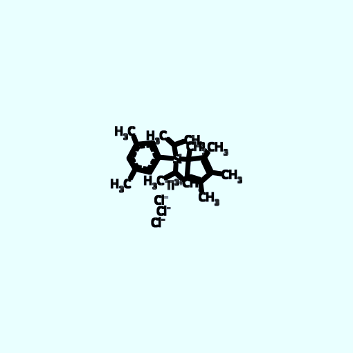 CC1=C(C)C(C)([Si](c2cc(C)cc(C)c2)(C(C)C)C(C)C)[C]([Ti+3])=C1C.[Cl-].[Cl-].[Cl-]